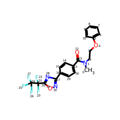 CN(CCOc1ccccc1)C(=O)c1ccc(-c2noc(C(F)(F)C(F)(F)F)n2)cc1